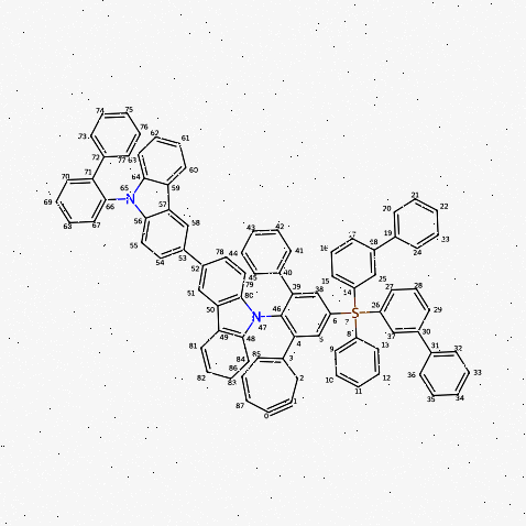 C1#CCC(c2cc(S(c3ccccc3)(c3cccc(-c4ccccc4)c3)c3cccc(-c4ccccc4)c3)cc(-c3ccccc3)c2-n2c3c(c4cc(-c5ccc6c(c5)c5ccccc5n6-c5ccccc5-c5ccccc5)ccc42)C=CCC3)=CC=C1